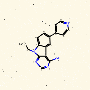 Nc1ncnc2c1c1cc(-c3ccncc3)ccc1n2CC(=O)O